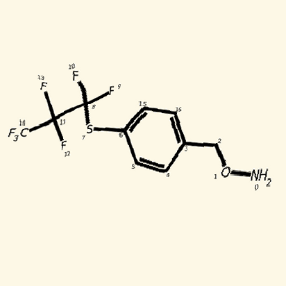 NOCc1ccc(SC(F)(F)C(F)(F)C(F)(F)F)cc1